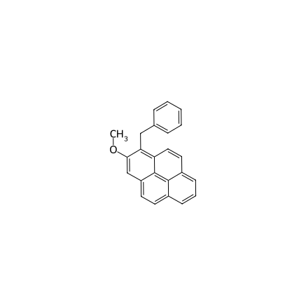 COc1cc2ccc3cccc4ccc(c1Cc1ccccc1)c2c34